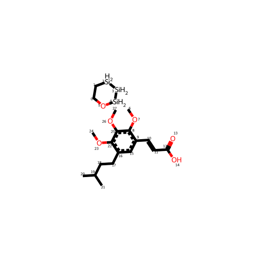 C1C[SiH2][SiH2][SiH2]O1.COc1c(C=CC(=O)O)cc(CCC(C)C)c(OC)c1OC